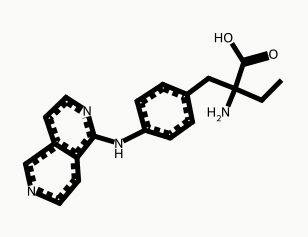 CCC(N)(Cc1ccc(Nc2nccc3cnccc23)cc1)C(=O)O